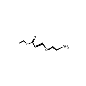 CCOC(=O)C=COCCN